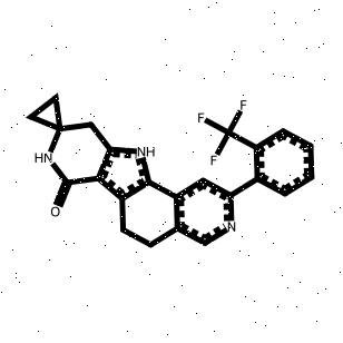 O=C1NC2(CC2)Cc2[nH]c3c(c21)CCc1cnc(-c2ccccc2C(F)(F)F)cc1-3